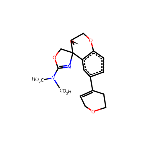 O=C(O)N(C(=O)O)C1=NC2(CO1)c1cc(C3=CCOCC3)ccc1OCC21COC1